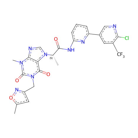 Cc1cc(Cn2c(=O)c3c(ncn3[C@@H](C)C(=O)Nc3cccc(-c4cnc(Cl)c(C(F)(F)F)c4)n3)n(C)c2=O)no1